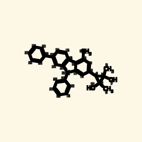 Bc1cc(C2C(C)(O)C2(C)O)cc2c1c1ccc(-c3ccccc3)cc1n2-c1ccccc1